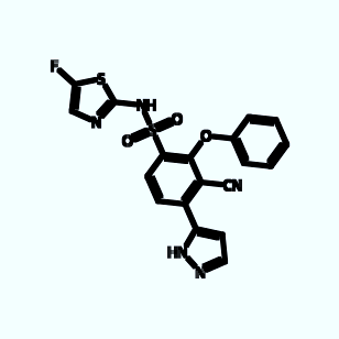 N#Cc1c(-c2ccn[nH]2)ccc(S(=O)(=O)Nc2ncc(F)s2)c1Oc1ccccc1